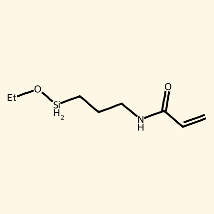 C=CC(=O)NCCC[SiH2]OCC